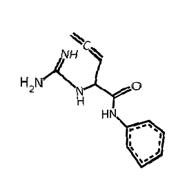 C=C=CC(NC(=N)N)C(=O)Nc1ccccc1